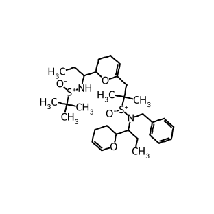 CCC(N[S+]([O-])C(C)(C)C)C1CCC=C(CC(C)(C)[S+]([O-])N(Cc2ccccc2)C(CC)C2CCC=CO2)O1